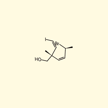 C[C@H](Br)/C=C\[C@@](C)(/C=C\I)CO